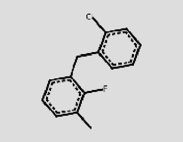 Cc1cccc(Cc2ccccc2Cl)c1F